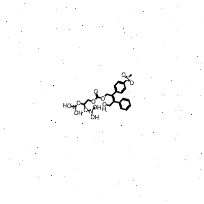 CS(=O)(=O)c1ccc(/C(COC(=O)OCC(ON(O)O)ON(O)O)=C(/CO)c2ccccc2)cc1